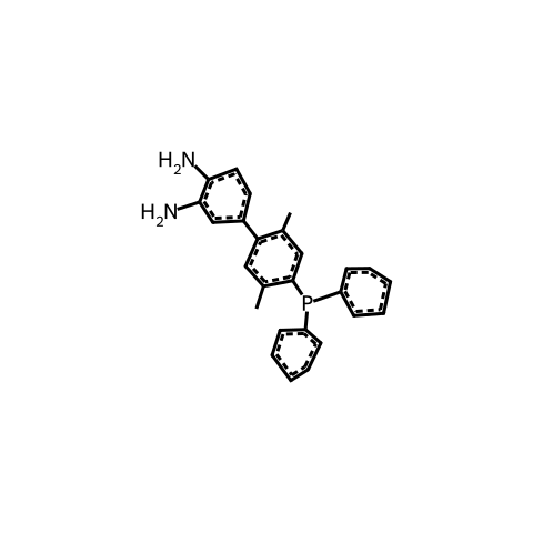 Cc1cc(P(c2ccccc2)c2ccccc2)c(C)cc1-c1ccc(N)c(N)c1